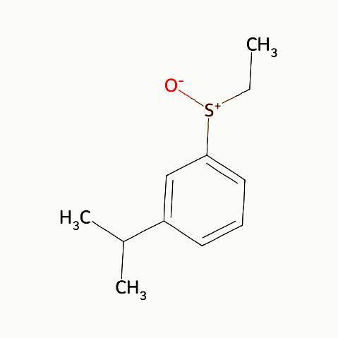 CC[S+]([O-])c1cccc(C(C)C)c1